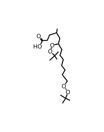 CC(CCC(=O)O)CC(CCCCCCCOOC(C)(C)C)OOC(C)(C)C